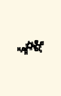 CNc1cccc(N(C)C(=O)CCl)c1